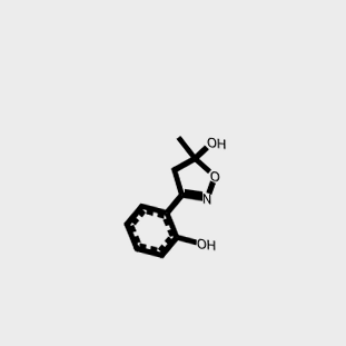 CC1(O)CC(c2ccccc2O)=NO1